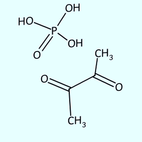 CC(=O)C(C)=O.O=P(O)(O)O